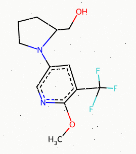 COc1ncc(N2CCCC2CO)cc1C(F)(F)F